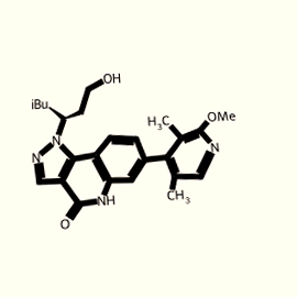 CC[C@H](C)[C@@H](CCO)n1ncc2c(=O)[nH]c3cc(-c4c(C)cnc(OC)c4C)ccc3c21